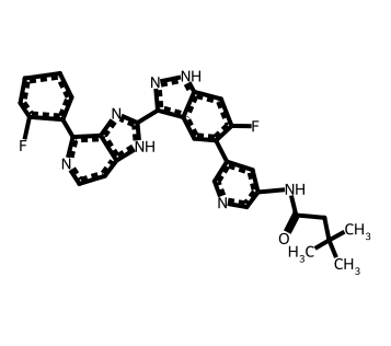 CC(C)(C)CC(=O)Nc1cncc(-c2cc3c(-c4nc5c(-c6ccccc6F)nccc5[nH]4)n[nH]c3cc2F)c1